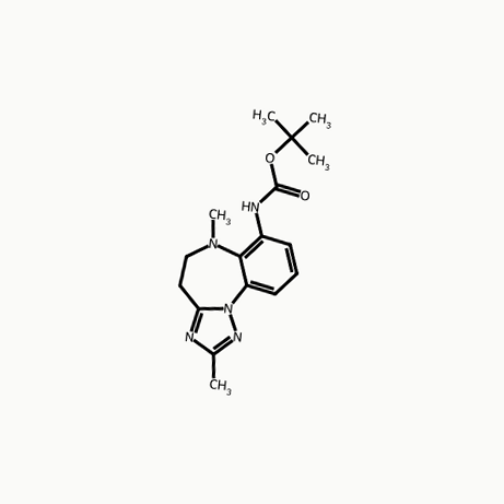 Cc1nc2n(n1)-c1cccc(NC(=O)OC(C)(C)C)c1N(C)CC2